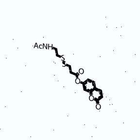 CC(=O)NCCSSCCC(=O)Oc1ccc2ccc(=O)oc2c1